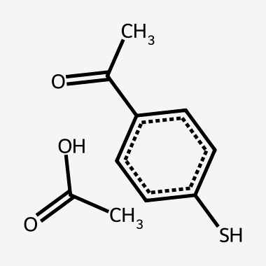 CC(=O)O.CC(=O)c1ccc(S)cc1